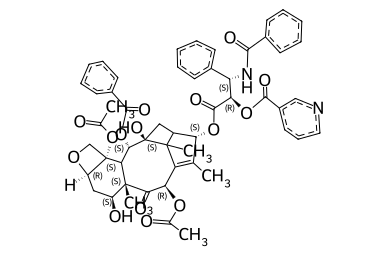 CC(=O)O[C@H]1C(=O)[C@@]2(C)C([C@H](OC(=O)c3ccccc3)[C@]3(O)CC4[C@H](OC(=O)[C@H](OC(=O)c5cccnc5)[C@@H](NC(=O)c5ccccc5)c5ccccc5)C(C)=C1C43C)[C@]1(OC(C)=O)CO[C@@H]1C[C@@H]2O